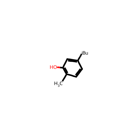 CCC(C)c1ccc(C)c(O)c1